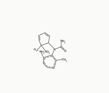 Cc1cccc(N)c1N(C(N)=O)C1C=CC=CC1(C)[N+](=O)[O-]